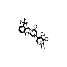 O=C1CN(c2cn[nH]c(=O)c2Cl)CCN1Cc1c(Cl)cccc1C(F)(F)F